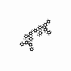 [3H]c1cccc(N(c2ccc(Oc3ccc(N(c4cccc([3H])c4)c4cccc(-n5c6ccc(-c7ccccc7)cc6c6cc(-c7ccccc7)ccc65)c4)cc3)cc2)c2cccc(-n3c4ccc(-c5ccccc5)cc4c4cc(-c5ccccc5)ccc43)c2)c1